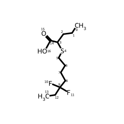 CCCC(SCCCCC(F)(F)CC)C(=O)O